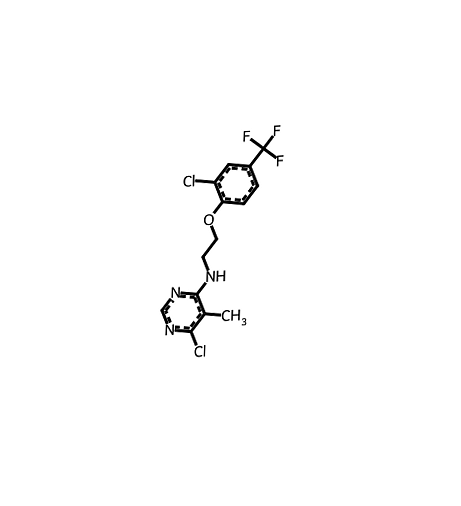 Cc1c(Cl)ncnc1NCCOc1ccc(C(F)(F)F)cc1Cl